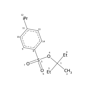 CCC(C)(CC)OS(=O)(=O)c1ccc(C(C)C)cc1